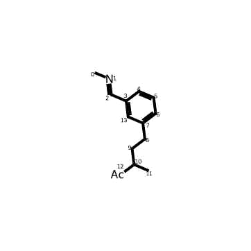 C/N=C/c1cccc(CCC(C)C(C)=O)c1